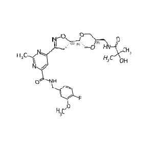 COc1cc(CNC(=O)c2cc(C3=NO[C@H]([C@H]4CO[C@H](CNC(=O)C(C)(C)O)CO4)C3)nc(C)n2)ccc1F